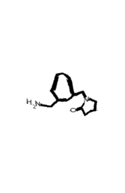 NCc1cccc(CN2C[CH]CC2=O)c1